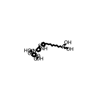 O=S(=O)(O)c1ccc(S(=O)(=O)O)c(N=C2C=CC3=C(C2)Sc2ccc(CCCCCCCCCCN(CCO)CCO)cc2N3)c1